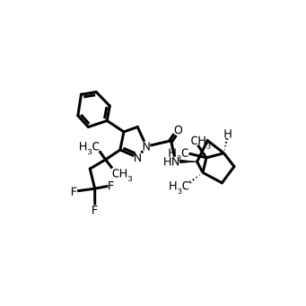 CC(C)(CC(F)(F)F)C1=NN(C(=O)N[C@H]2C[C@H]3CC[C@]2(C)C3(C)C)CC1c1ccccc1